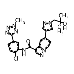 Cn1nnc(-c2ccc(Cl)c(NC(=O)c3cnn4ccc(-c5cnn(CC(C)(C)O)c5)cc34)c2)n1